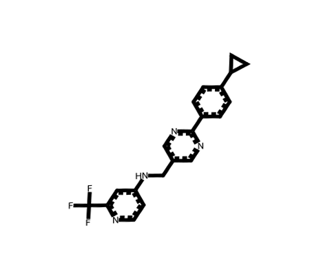 FC(F)(F)c1cc(NCc2cnc(-c3ccc(C4CC4)cc3)nc2)ccn1